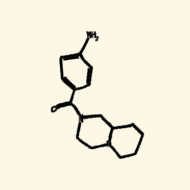 Nc1ccc(C(=O)N2CCN3CCCCC3C2)cc1